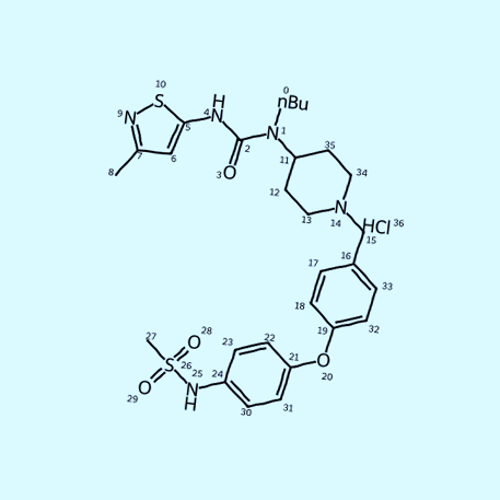 CCCCN(C(=O)Nc1cc(C)ns1)C1CCN(Cc2ccc(Oc3ccc(NS(C)(=O)=O)cc3)cc2)CC1.Cl